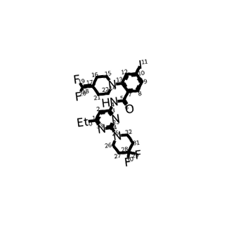 CCc1cc(NC(=O)c2ccc(I)cc2N2CCC(=C(F)F)CC2)nc(N2CCC(F)(F)CC2)n1